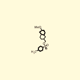 COc1ccc2c(c1)CCC(COS(=O)(=O)c1ccc(C)cc1)C2